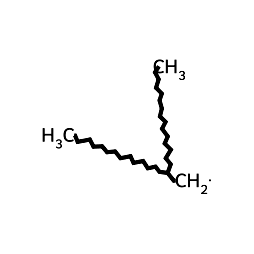 [CH2]CC(CCCCCCCCCCCCCCC)CCCCCCCCCCCCCCC